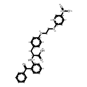 O=C(c1ccccc1)c1ccccc1NC(Cc1ccc(OCCOc2ccc([N+](=O)[O-])cn2)cc1)C(=O)O